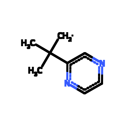 [CH2]C(C)(C)c1cnccn1